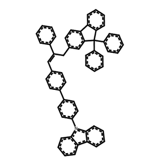 C(=C(/Cc1ccc2c(c1)C(c1ccccc1)(c1ccccc1)c1ccccc1-2)c1ccccc1)/c1ccc(-c2ccc(-n3c4ccccc4c4ccccc43)cc2)cc1